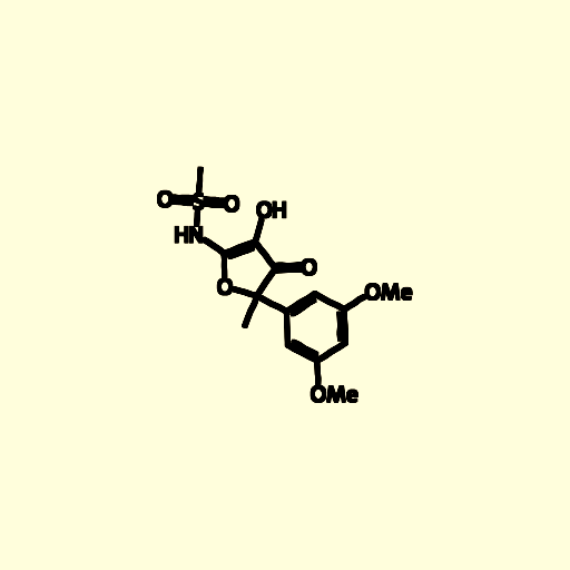 COc1cc(OC)cc(C2(C)OC(NS(C)(=O)=O)=C(O)C2=O)c1